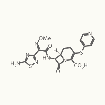 CO/N=C(\C(=O)N[C@@H]1C(=O)N2C(C(=O)O)=C(Sc3ccncc3)CC[C@H]12)c1nsc(N)n1